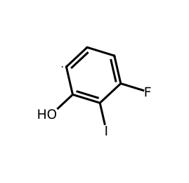 Oc1[c]ccc(F)c1I